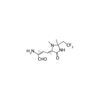 CN1/C(=C\C=C(\N)C=O)C(=O)NC1(C)CC(F)(F)F